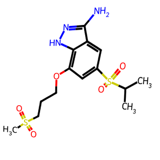 CC(C)S(=O)(=O)c1cc(OCCCS(C)(=O)=O)c2[nH]nc(N)c2c1